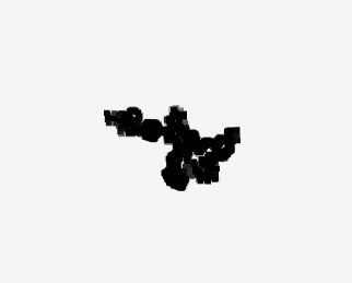 CN(C)Cc1nnc(C(Cc2ccccc2)NC(=O)C=Cc2cc(Cl)ccc2-n2cnnn2)cc1-c1ccc(NC(=O)O)cc1